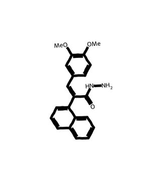 COc1ccc(C=C(C(=O)NN)c2cccc3ccccc23)cc1OC